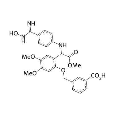 COC(=O)C(Nc1ccc(C(=N)NO)cc1)c1cc(OC)c(OC)cc1OCc1cccc(C(=O)O)c1